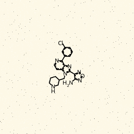 Nc1nonc1-c1nc2c(-c3cccc(Cl)c3)nccc2n1CC1CCCNC1